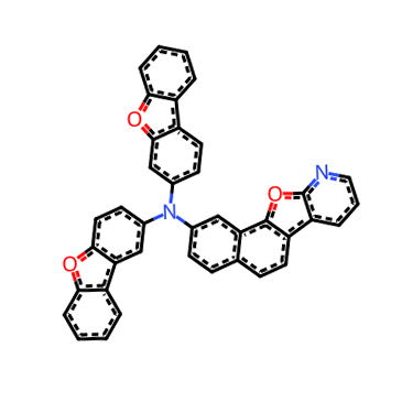 c1ccc2c(c1)oc1cc(N(c3ccc4oc5ccccc5c4c3)c3ccc4ccc5c6cccnc6oc5c4c3)ccc12